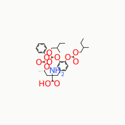 CCC(C)COC(=O)Oc1ccc(CC(N)(C[C@H](C)OC(=O)Oc2ccccc2)C(=O)O)cc1OC(=O)OCC(C)CC